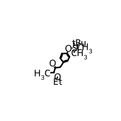 CCOC(C)C(=O)Cc1ccc(O[Si](C)(C)C(C)(C)C)cc1